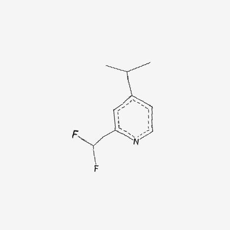 CC(C)c1ccnc(C(F)F)c1